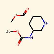 CC(C)(C)OC(=O)NC1CCCNC1.COC=O